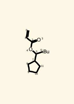 C=CC(=O)OC(C(C)CC)C1CCCC1